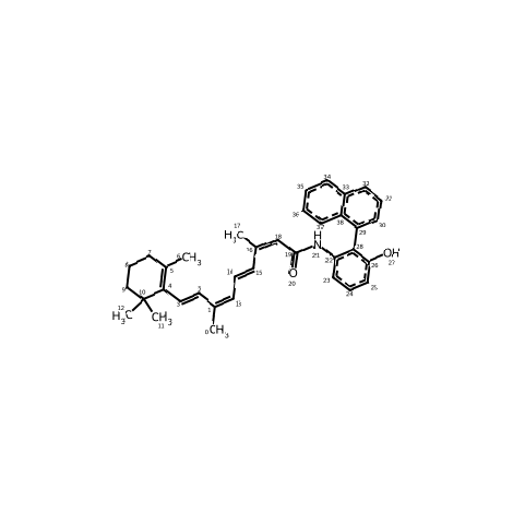 CC(C=CC1=C(C)CCCC1(C)C)=CC=CC(C)=CC(=O)Nc1cccc(O)c1-c1cccc2ccccc12